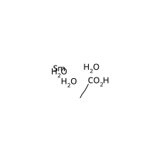 CC(=O)O.O.O.O.[Sm]